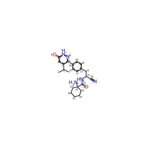 CC(C)c1cc(=O)[nH]nc1-c1ccc(CC(C#N)NC(=O)C2(N)CCCCC2)cc1